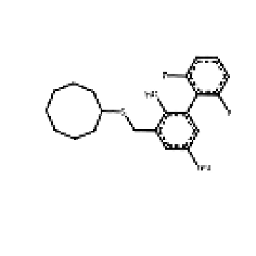 CC(C)(C)c1cc(CSC2CCCCCCC2)c(O)c(-c2c(F)cccc2F)c1